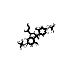 CCC(C)CCC(C)(c1ccc(OC(C)=O)cc1C)c1ccc(OC(C)(C)C)cc1C